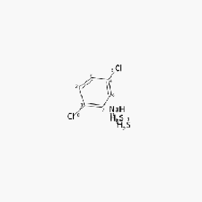 Clc1ccc(Cl)cc1.S.S.[NaH]